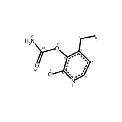 CCc1ccnc(Cl)c1OC(N)=O